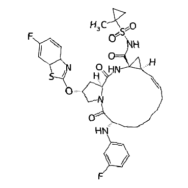 CC1(S(=O)(=O)NC(=O)[C@@]23C[C@H]2/C=C\CCCCC[C@H](Nc2cccc(F)c2)C(=O)N2C[C@H](OC4=NC5C=CC(F)=CC5S4)C[C@H]2C(=O)N3)CC1